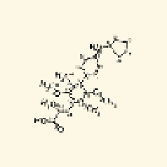 COc1c(C)c(-c2ccc(NC3CCCC3)cc2)c(OC)c(C)c1/C=C(\C)C(=O)O